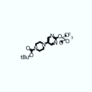 CC(C)(C)OC(=O)N1CCN(c2cnc(OS(=O)(=O)C(F)(F)F)nc2)CC1